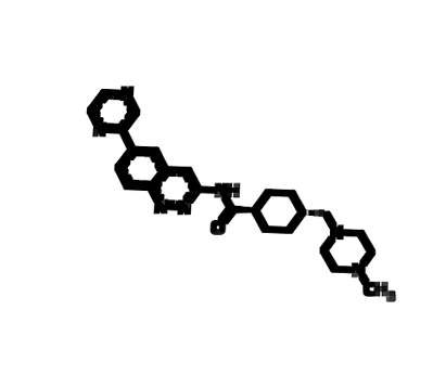 CN1CCN(C[C@H]2CC[C@H](C(=O)Nc3cc4cc(-c5cnccn5)ccc4nn3)CC2)CC1